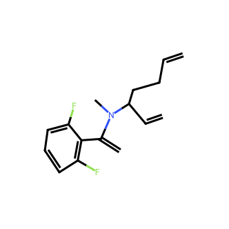 C=CCCC(C=C)N(C)C(=C)c1c(F)cccc1F